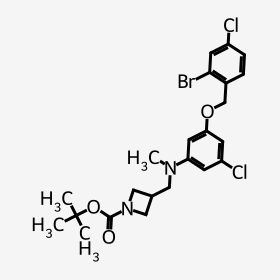 CN(CC1CN(C(=O)OC(C)(C)C)C1)c1cc(Cl)cc(OCc2ccc(Cl)cc2Br)c1